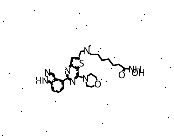 CN(CCCCCCC(=O)NO)Cc1cc2nc(-c3cccc4[nH]ncc34)nc(N3CCOCC3)c2s1